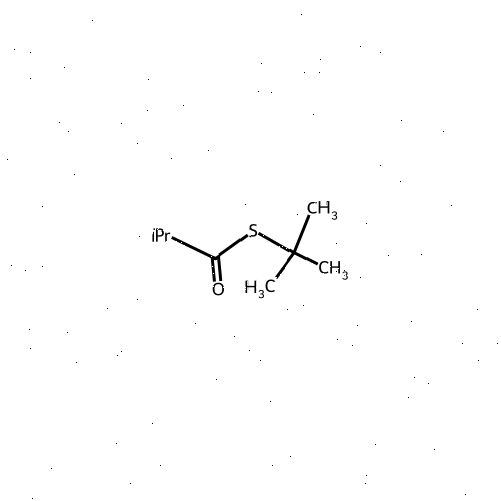 CC(C)C(=O)SC(C)(C)C